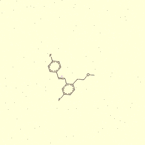 COCCc1ccc(F)cc1/C=C/c1ccc(F)cc1